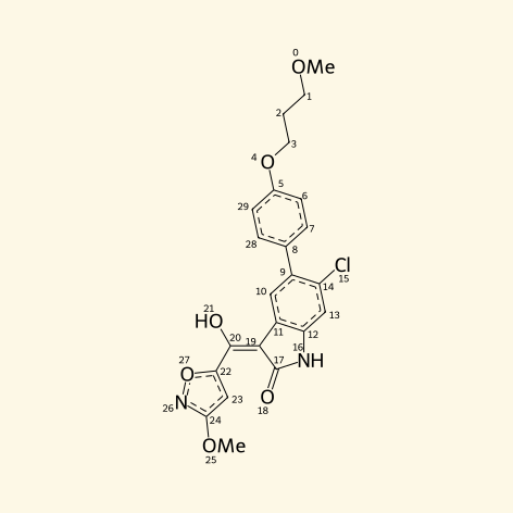 COCCCOc1ccc(-c2cc3c(cc2Cl)NC(=O)/C3=C(/O)c2cc(OC)no2)cc1